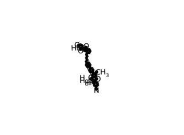 CCc1cc2c(cc1N1CCC(N3CCN(CCCCCc4cccc5c4CN(C4CCC(=O)NC4=O)C5=O)CC3)CC1)C(C)(C)c1[nH]c3cc(C#N)ccc3c1C2=O